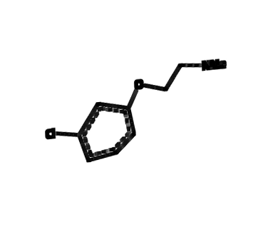 CNCCOc1cccc(Cl)c1